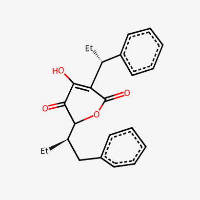 CC[C@H](Cc1ccccc1)C1OC(=O)C([C@H](CC)c2ccccc2)=C(O)C1=O